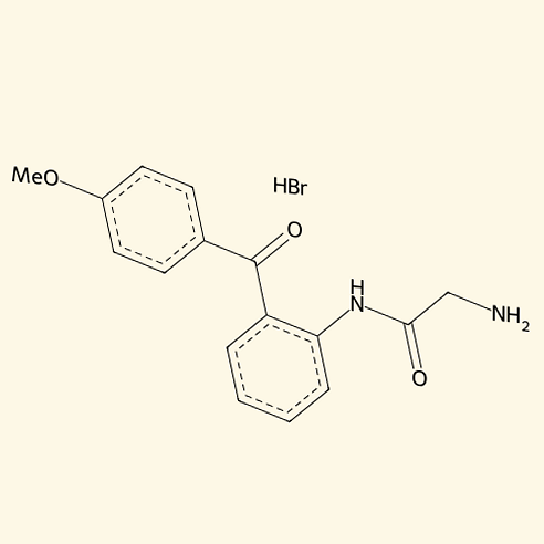 Br.COc1ccc(C(=O)c2ccccc2NC(=O)CN)cc1